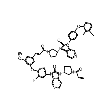 C=CC(=O)N1CC[C@@H](n2c(=O)n(-c3ccc(Oc4cc(C=CC(=O)N5CC[C@@H](n6c(=O)n(-c7ccc(Oc8cccc(C)c8C)cc7)c7cnccc76)C5)cc(OC(C)C)c4)c(F)c3)c3cnccc32)C1